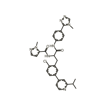 CC(C)c1cc(-c2ccc(Cl)c(CC(NC(=O)c3ccnn3C)C(=O)Nc3ccc(-c4nncn4C)cc3)c2)ccn1